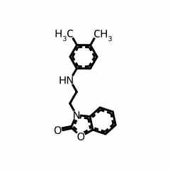 Cc1ccc(NCCn2c(=O)oc3ccccc32)cc1C